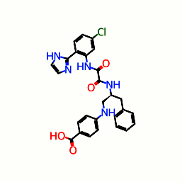 O=C(Nc1cc(Cl)ccc1-c1ncc[nH]1)C(=O)N[C@H](CNc1ccc(C(=O)O)cc1)Cc1ccccc1